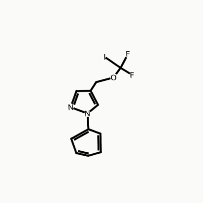 FC(F)(I)OCc1cnn(-c2ccccc2)c1